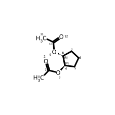 CC(=O)O[C@@H]1CCC[C@H]1OC(C)=O